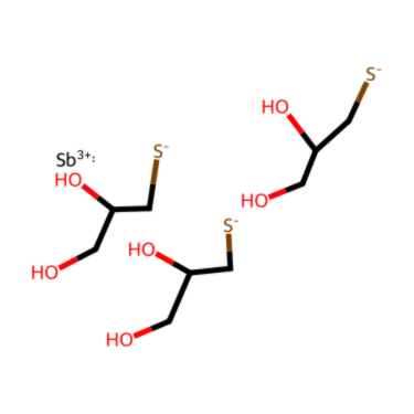 OCC(O)C[S-].OCC(O)C[S-].OCC(O)C[S-].[Sb+3]